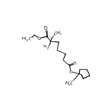 CCOC(=O)C(C)(C)CCCCC(=O)OC1(C)CCCC1